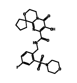 O=C(NCc1ccc(F)cc1S(=O)(=O)N1CCOCC1)c1nc2n(c(=O)c1O)CCOC21CCCC1